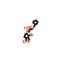 O=C1OCc2c1ccc(OC[C@H](O)COCc1ccccc1)c2Br